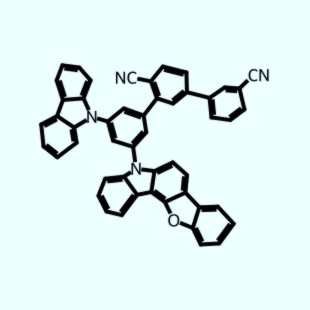 N#Cc1cccc(-c2ccc(C#N)c(-c3cc(-n4c5ccccc5c5ccccc54)cc(-n4c5ccccc5c5c6oc7ccccc7c6ccc54)c3)c2)c1